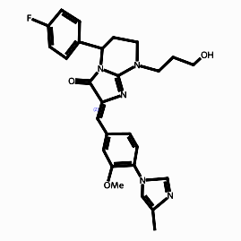 COc1cc(/C=C2\N=C3N(CCCO)CCC(c4ccc(F)cc4)N3C2=O)ccc1-n1cnc(C)c1